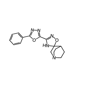 c1ccc(-c2nnc(C3=NOC4(CN5CCC4CC5)N3)o2)cc1